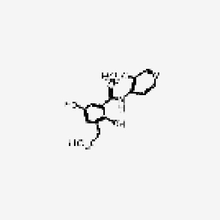 O=C(O)Cc1cc(O)cc(C(=O)Nc2ccncc2C(=O)O)c1O